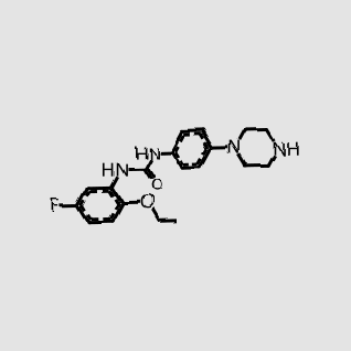 CCOc1ccc(F)cc1NC(=O)Nc1ccc(N2CCNCC2)cc1